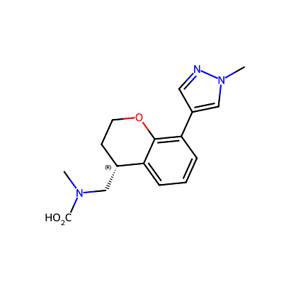 CN(C[C@@H]1CCOc2c(-c3cnn(C)c3)cccc21)C(=O)O